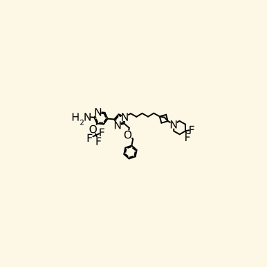 Nc1ncc(-c2cn(CCCCCC34CC(N5CCC(F)(F)CC5)(C3)C4)c(COCc3ccccc3)n2)cc1OC(F)(F)F